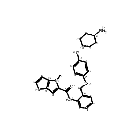 Cn1c(C(=O)Nc2ccccc2COc2ccc(O[C@H]3CC[C@H](N)CC3)cc2)cc2sccc21